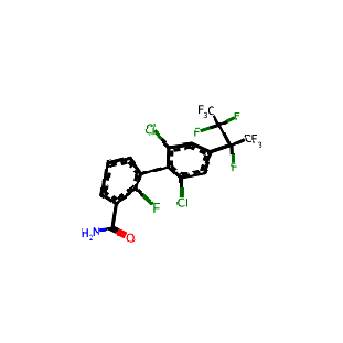 NC(=O)c1cccc(-c2c(Cl)cc(C(F)(C(F)(F)F)C(F)(F)C(F)(F)F)cc2Cl)c1F